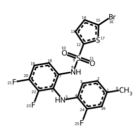 Cc1ccc(Nc2c(NS(=O)(=O)c3ccc(Br)s3)ccc(F)c2F)c(F)c1